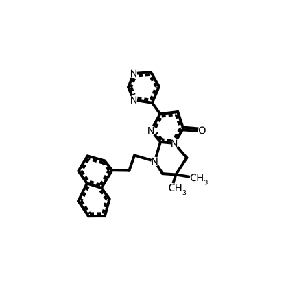 CC1(C)CN(CCc2cccc3ccccc23)c2nc(-c3ccncn3)cc(=O)n2C1